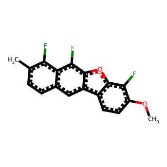 COc1ccc2c(oc3c(F)c4c(F)c(C)ccc4cc32)c1F